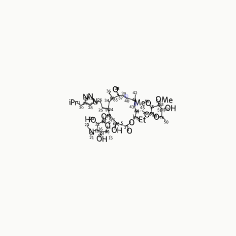 CC[C@H]1OC(=O)C[C@@H](O)[C@H](C)[C@@H](O[C@@H]2O[C@H](C)[C@@H](O)C(N(C)C)C2O)[C@@H](CCn2cc(CC(C)C)nn2)C[C@@H](C)C(=O)/C=C/C(C)=C/[C@@H]1CO[C@@H]1OC(C)[C@@H](O)[C@H](OC)C1OC